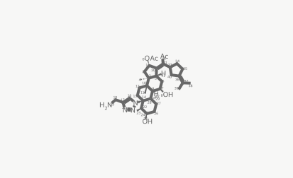 CC(=O)O[C@H]1C[C@@]2(C)[C@@H](C[C@@H](O)[C@@H]3[C@]2(C)CC[C@@]2(n4cc(CN)nn4)[C@H](C)[C@H](O)CC[C@]32C)/C1=C(/C(C)=O)C1CCC(=C(C)C)C1